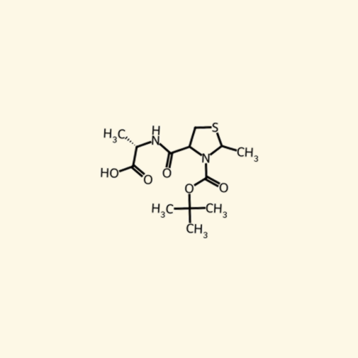 CC1SCC(C(=O)N[C@@H](C)C(=O)O)N1C(=O)OC(C)(C)C